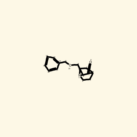 O=C1C2CCN(CC2)C1COCc1ccccc1